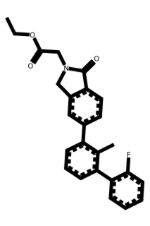 CCOC(=O)CN1Cc2cc(-c3cccc(-c4ccccc4F)c3C)ccc2C1=O